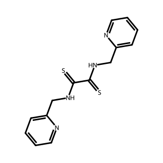 S=C(NCc1ccccn1)C(=S)NCc1ccccn1